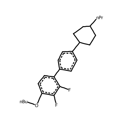 CCCCOc1ccc(-c2ccc(C3CCC(CCC)CC3)cc2)c(F)c1F